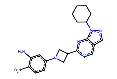 Nc1cc(N2CC(c3ncc4cnn(C5CCCCC5)c4n3)C2)ccc1[N+](=O)[O-]